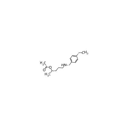 CCc1ccc(CNCCCC(C)OC(C)=O)cc1